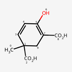 CC1(C(=O)O)C=CC(O)=C(C(=O)O)C1